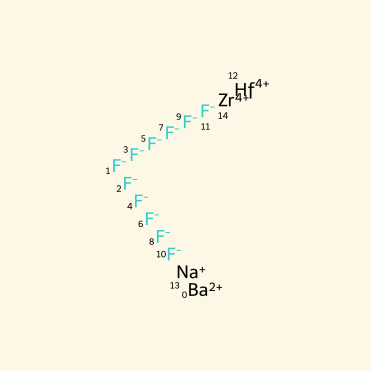 [Ba+2].[F-].[F-].[F-].[F-].[F-].[F-].[F-].[F-].[F-].[F-].[F-].[Hf+4].[Na+].[Zr+4]